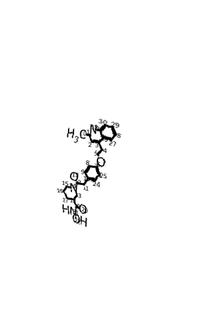 Cc1cc(CCOc2ccc(CC(=O)N3CCCC(C(=O)NO)C3)cc2)c2ccccc2n1